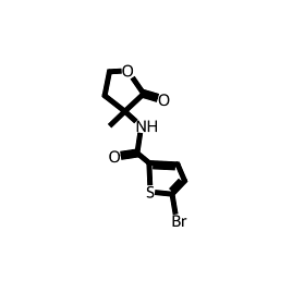 CC1(NC(=O)c2ccc(Br)s2)CCOC1=O